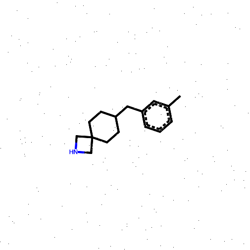 Cc1cccc(CC2CCC3(CC2)CNC3)c1